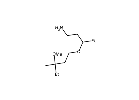 CCC(CCN)OCCC(C)(CC)OC